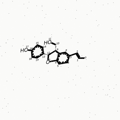 C/C=C/c1ccc2c(c1)[C@@H](CO)[C@@H](c1ccc(O)cc1)O2